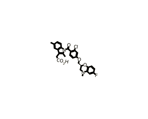 Cc1ccc2c(c1)c(CC(=O)O)c(C)n2C(=O)c1ccc(OC[C@@H]2CN(C)c3cc(F)ccc3O2)cc1Cl